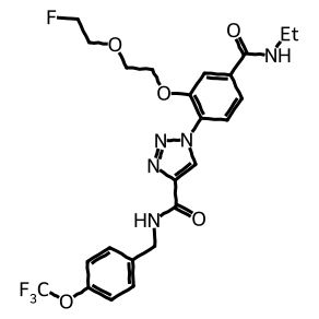 CCNC(=O)c1ccc(-n2cc(C(=O)NCc3ccc(OC(F)(F)F)cc3)nn2)c(OCCOCCF)c1